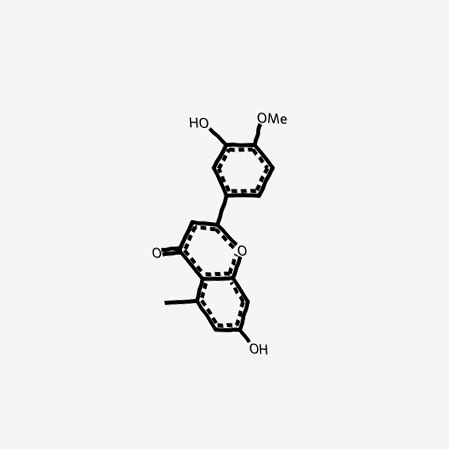 COc1ccc(-c2cc(=O)c3c(C)cc(O)cc3o2)cc1O